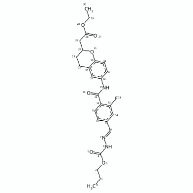 CCCOC(=O)NN=Cc1ccc(C(=O)Nc2ccc3c(c2)CCC(CC(=O)OCC)O3)c(F)c1